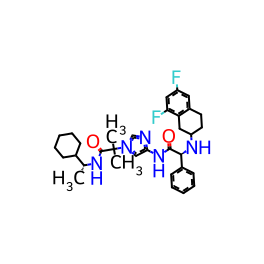 C[C@@H](NC(=O)C(C)(C)n1cnc(NC(=O)[C@@H](NC2CCc3cc(F)cc(F)c3C2)c2ccccc2)c1)C1CCCCC1